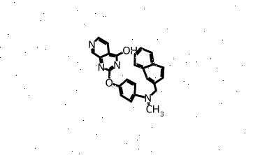 CN(Cc1ccc2ccccc2c1)c1ccc(Oc2nc(O)c3ccncc3n2)cc1